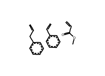 C=CC(=O)OC.C=CCc1ccccc1.C=Cc1ccccc1